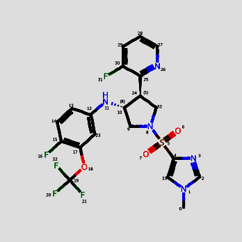 Cn1cnc(S(=O)(=O)N2C[C@H](Nc3ccc(F)c(OC(F)(F)F)c3)[C@@H](c3ncccc3F)C2)c1